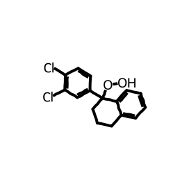 OOC1(c2ccc(Cl)c(Cl)c2)CCCc2ccccc21